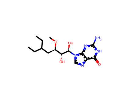 CCC(CC)C[C@@H](OC)[C@@H](O)[C@@H](O)n1cnc2c(=O)[nH]c(N)nc21